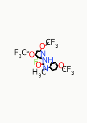 CN(C(=O)Nc1nc(OCC(F)(F)F)cc(OCC(F)(F)F)c1F)c1ccc(OC(F)(F)F)cc1